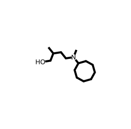 CC(CO)CCN(C)C1CCCCCCC1